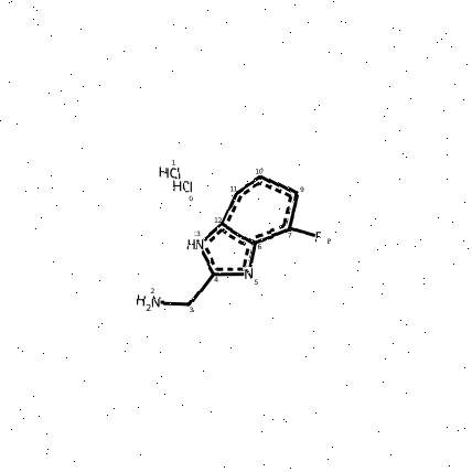 Cl.Cl.NCc1nc2c(F)cccc2[nH]1